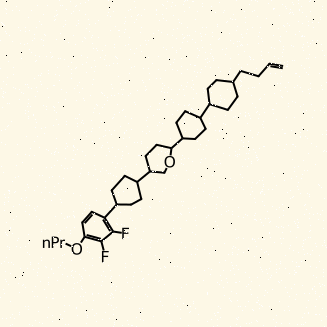 C=CCCC1CCC(C2CCC(C3CCC(C4CCC(c5ccc(OCCC)c(F)c5F)CC4)CO3)CC2)CC1